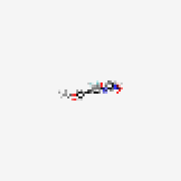 CCCCCOc1ccc(C#Cc2ccc(-c3nc4cc([N+](=O)[O-])ccc4o3)c(F)c2F)cc1